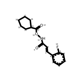 O=C(C=Cc1ccccc1F)NOC(=O)C1CCCCC1